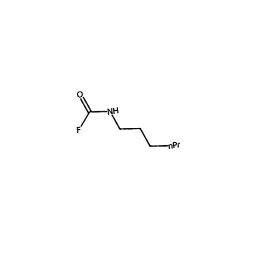 CCCCCCNC(=O)F